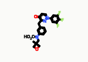 CC1(CN(C(=O)O)c2cccc(Cc3nn(-c4cc(F)c(F)c(F)c4)ccc3=O)c2)COC1